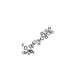 O=C1CCC(N2COCc3cc(NCC4CCN(c5cccc(-c6cnc7ccc(N8CCC[C@@H]8c8cccc(F)c8)nn67)n5)CC4)ccc3C2=O)C(=O)N1